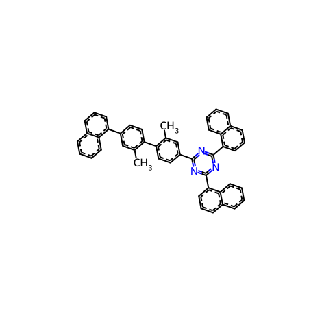 Cc1cc(-c2nc(-c3cccc4ccccc34)nc(-c3cccc4ccccc34)n2)ccc1-c1ccc(-c2cccc3ccccc23)cc1C